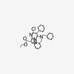 CCOC(=O)c1cnn2c(N(Cc3ccccc3)Cc3ccccc3)c(-c3ccccc3)c(Cl)nc12